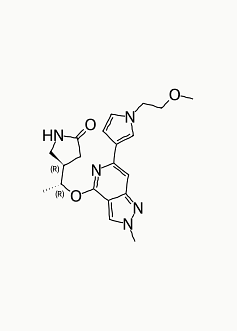 COCCn1ccc(-c2cc3nn(C)cc3c(O[C@H](C)[C@H]3CNC(=O)C3)n2)c1